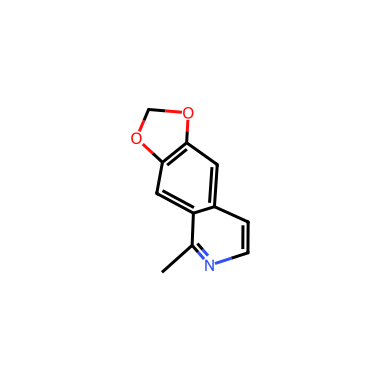 Cc1nccc2cc3c(cc12)OCO3